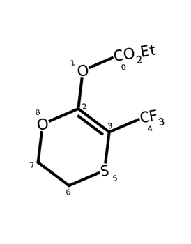 CCOC(=O)OC1=C(C(F)(F)F)SCCO1